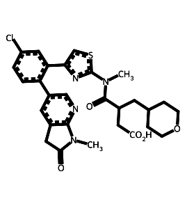 CN(C(=O)C(CC(=O)O)CC1CCOCC1)c1nc(-c2cc(Cl)ccc2-c2cnc3c(c2)CC(=O)N3C)cs1